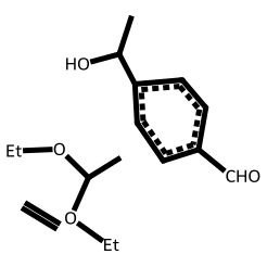 C=C.CC(O)c1ccc(C=O)cc1.CCOC(C)OCC